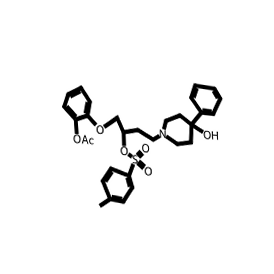 CC(=O)Oc1ccccc1OCC(CCN1CCC(O)(c2ccccc2)CC1)OS(=O)(=O)c1ccc(C)cc1